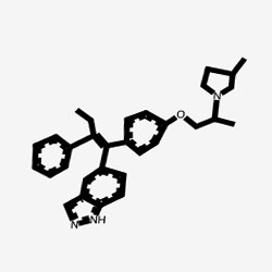 CCC(=C(c1ccc(OCC(C)N2CCC(C)C2)cc1)c1ccc2[nH]ncc2c1)c1ccccc1